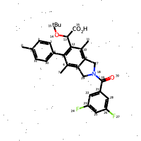 Cc1ccc(-c2c(C)c3c(c(C)c2C(OC(C)(C)C)C(=O)O)CN(C(=O)c2cc(F)cc(F)c2)C3)cc1